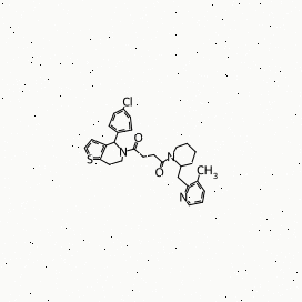 Cc1cccnc1CC1CCCCN1C(=O)CCC(=O)N1CCc2sccc2C1c1ccc(Cl)cc1